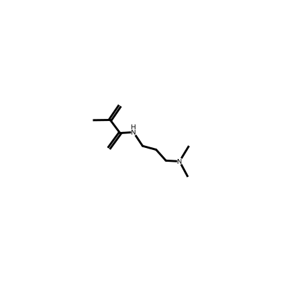 C=C(C)C(=C)NCCCN(C)C